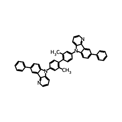 Cc1cc(-n2c3ccc(-c4ccccc4)cc3c3ncccc32)ccc1-c1ccc(-n2c3ccc(-c4ccccc4)cc3c3ncccc32)cc1C